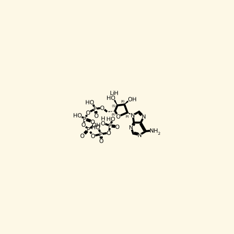 Nc1ncnc2c1ncn2[C@@H]1O[C@H](COP(=O)(O)OP(=O)(O)OP(=O)(O)OP(=O)(O)OP(=O)(O)O)[C@@H](O)[C@H]1O.[LiH]